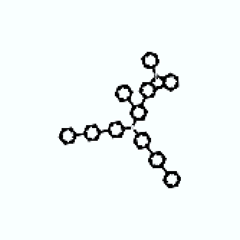 c1ccc(-c2ccc(-c3ccc(N(c4ccc(-c5ccc(-c6ccccc6)cc5)cc4)c4ccc(-c5ccc6c(c5)c5ccccc5n6-c5ccccc5)c(-c5ccccc5)c4)cc3)cc2)cc1